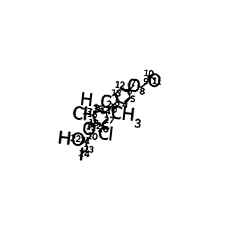 CC(C)(c1ccc(OC[C@H]2CO2)cc1)c1cc(Cl)c(OC[C@@H](O)CI)c(Cl)c1